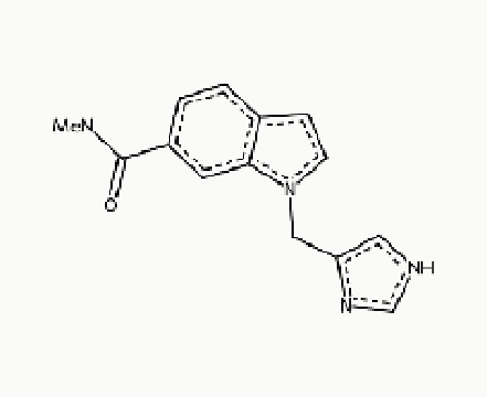 CNC(=O)c1ccc2ccn(Cc3c[nH]cn3)c2c1